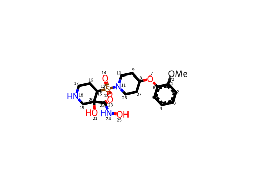 COc1ccccc1OC1CCN(S(=O)(=O)C2CCNCC2(O)C(=O)NO)CC1